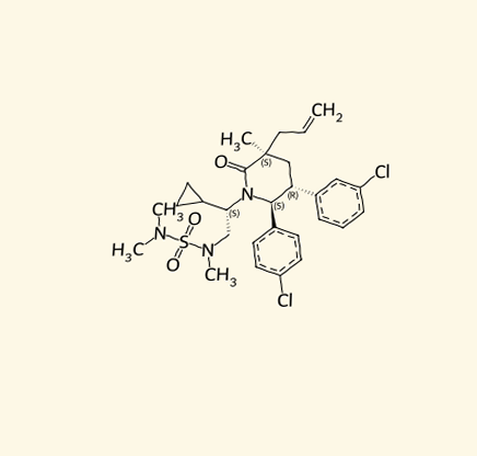 C=CC[C@@]1(C)C[C@H](c2cccc(Cl)c2)[C@@H](c2ccc(Cl)cc2)N([C@H](CN(C)S(=O)(=O)N(C)C)C2CC2)C1=O